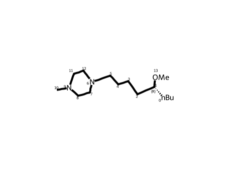 CCCC[C@H](CCCCN1CCN(C)CC1)OC